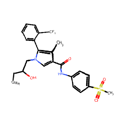 COCC(O)Cn1cc(C(=O)Nc2ccc(S(C)(=O)=O)cc2)c(C)c1-c1ccccc1C(F)(F)F